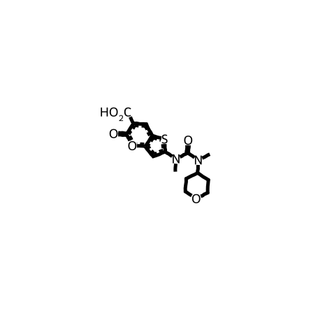 CN(C(=O)N(C)C1CCOCC1)c1cc2oc(=O)c(C(=O)O)cc2s1